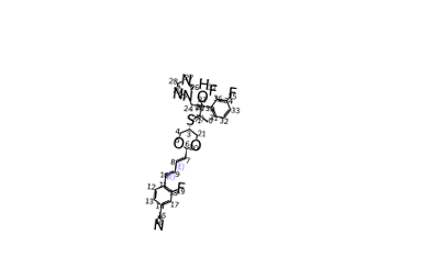 C[C@@H](S[C@H]1CO[C@H](/C=C/C=C/c2ccc(C#N)cc2F)OC1)[C@](O)(Cn1cncn1)c1cccc(F)c1F